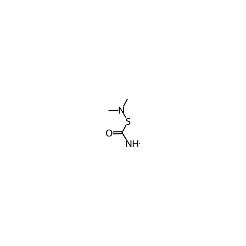 CN(C)SC([NH])=O